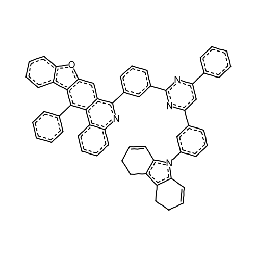 C1=Cc2c(c3c(n2-c2cccc(-c4cc(-c5ccccc5)nc(-c5cccc(-c6nc7ccccc7c7c(-c8ccccc8)c8c(cc67)oc6ccccc68)c5)n4)c2)C=CCC3)CC1